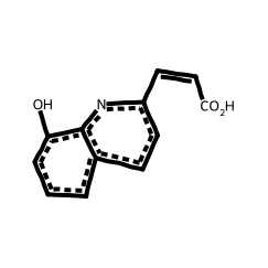 O=C(O)/C=C\c1ccc2cccc(O)c2n1